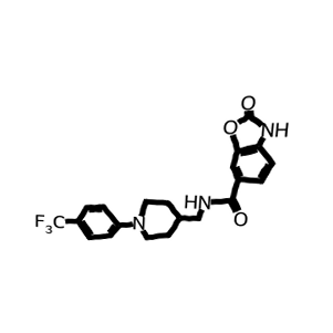 O=C(NCC1CCN(c2ccc(C(F)(F)F)cc2)CC1)c1ccc2[nH]c(=O)oc2c1